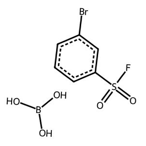 O=S(=O)(F)c1cccc(Br)c1.OB(O)O